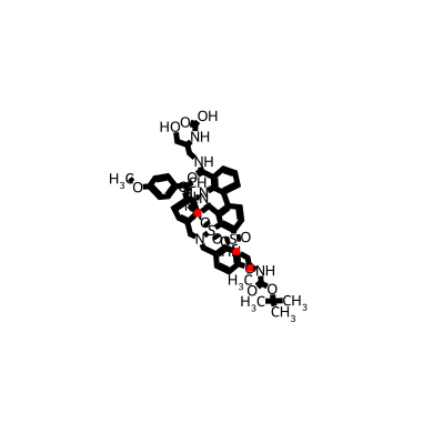 COc1ccc(CN(Cc2ccc(OC)cc2)S(=O)(=O)c2c(S(=O)(=O)NCCNC(=O)OC(C)(C)C)ccc(-c3cccc(C(=O)NCC(CO)NC(=O)O)c3N)c2-c2nnn(Cc3ccc(OC)cc3)n2)cc1